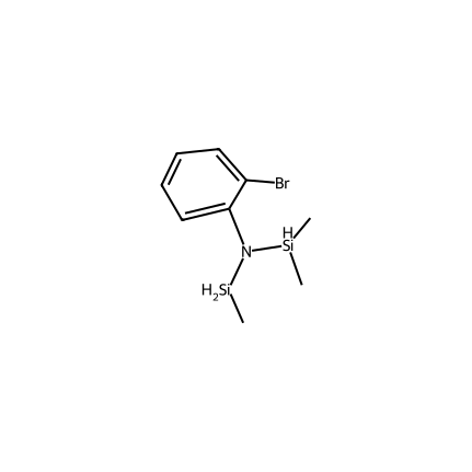 C[SiH2]N(c1ccccc1Br)[SiH](C)C